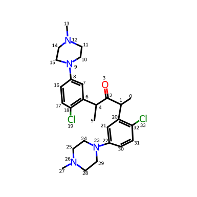 CC(C(=O)C(C)c1cc(N2CCN(C)CC2)ccc1Cl)c1cc(N2CCN(C)CC2)ccc1Cl